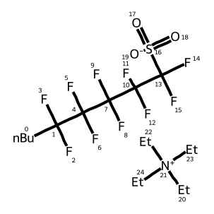 CCCCC(F)(F)C(F)(F)C(F)(F)C(F)(F)C(F)(F)S(=O)(=O)[O-].CC[N+](CC)(CC)CC